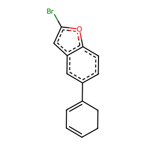 Brc1cc2cc(C3=CC=CCC3)ccc2o1